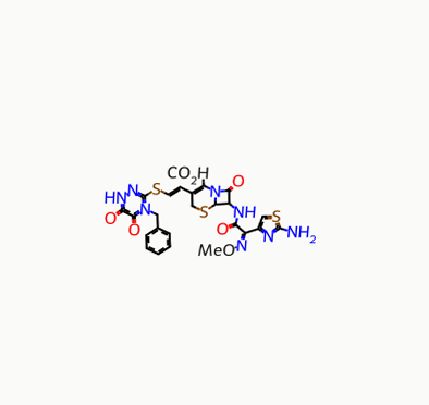 CO/N=C(\C(=O)NC1C(=O)N2C(C(=O)O)=C(/C=C/Sc3n[nH]c(=O)c(=O)n3Cc3ccccc3)CSC12)c1csc(N)n1